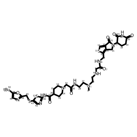 CN(CCNCC(=O)NCc1scc2c1CN(C1CCC(=O)NC1=O)C2=O)CCNC(=O)CN1CCC(C(=O)Nc2ncc(SCc3ncc(C(C)(C)C)o3)s2)CC1